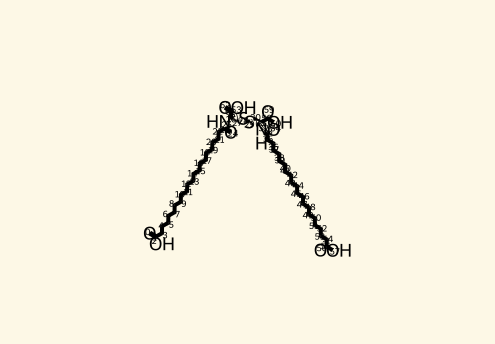 O=C(O)CCCCCCCCCCCCCCCCCCCCC(=O)N[C@@H](CSSC[C@H](NC(=O)CCCCCCCCCCCCCCCCCCCCC(=O)O)C(=O)O)C(=O)O